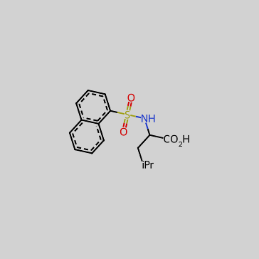 CC(C)CC(NS(=O)(=O)c1cccc2ccccc12)C(=O)O